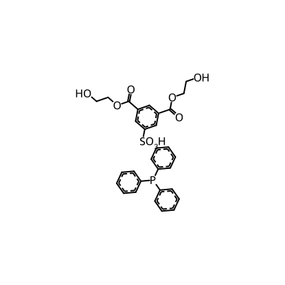 O=C(OCCO)c1cc(C(=O)OCCO)cc(S(=O)(=O)O)c1.c1ccc(P(c2ccccc2)c2ccccc2)cc1